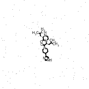 CC(C)C[C@@H]1NCCN([C@@H](CC(C)C)C(=O)N2CCC(c3c[nH]cn3)CC2)C1=O